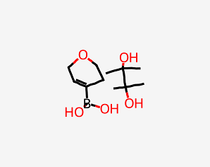 CC(C)(O)C(C)(C)O.OB(O)C1=CCOCC1